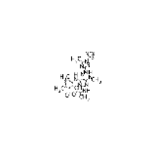 CNc1nc(NC(C)COC=O)nc(Nc2c(C)cc(C)cc2C)c1N=Nc1nc(C)n(-c2ncns2)n1